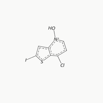 O[n+]1ccc(Cl)c2sc(I)cc21